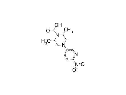 C[C@@H]1CN(c2ccc([N+](=O)[O-])nc2)C[C@H](C)N1C(=O)O